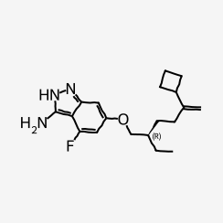 C=C(CC[C@@H](CC)COc1cc(F)c2c(N)[nH]nc2c1)C1CCC1